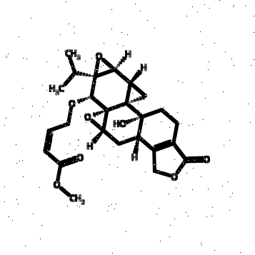 COC(=O)/C=C\CO[C@@H]1[C@@]2(C(C)C)O[C@H]2[C@@H]2C[C@]23[C@]12O[C@H]2C[C@H]1C2=C(CC[C@@]13O)C(=O)OC2